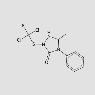 CC1NN(SC(F)(Cl)Cl)C(=O)N1c1ccccc1